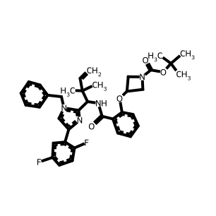 C=CC(C)(C)C(NC(=O)c1ccccc1OC1CN(C(=O)OC(C)(C)C)C1)c1nc(-c2cc(F)ccc2F)cn1Cc1ccccc1